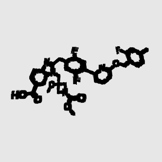 COC(=O)N1CC(Cn2c(Cc3cc(F)c(-c4cccc(OCc5ccc(C)cc5F)n4)cc3F)nc3ccc(C(=O)O)cc32)(OC)C1